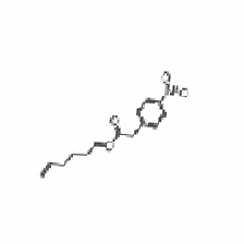 C=CCCCCOC(=O)Cc1ccc([N+](=O)[O-])cc1